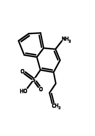 C=CCc1cc(N)c2ccccc2c1S(=O)(=O)O